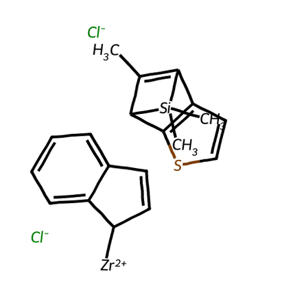 CC1=C2c3ccsc3C1[Si]2(C)C.[Cl-].[Cl-].[Zr+2][CH]1C=Cc2ccccc21